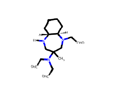 CCN1CC(C)(N(CC=O)CC=O)CN(CC=O)[C@@H]2CCCC[C@H]21